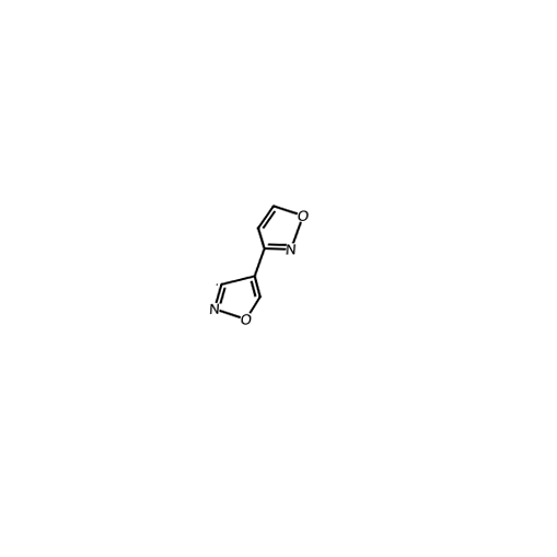 [c]1nocc1-c1ccon1